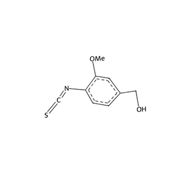 COc1cc(CO)ccc1N=C=S